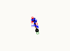 Cn1c(=O)c2c(ncn2CC(=O)Nc2nnc(-c3ccc(Cl)cc3)s2)n(C)c1=O